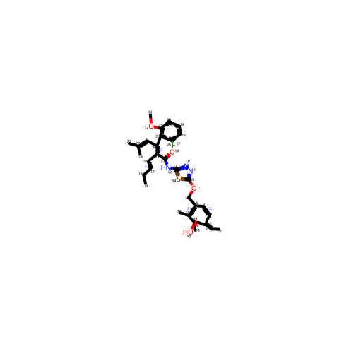 C\C=C(/C=C\C(COc1nnc(NC(=O)C(/C=C/CC)=C(/C=C(C)C)c2c(F)cccc2OC)s1)=C(\C)CC)CO